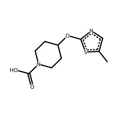 Cc1cnc(OC2CCN(C(=O)O)CC2)s1